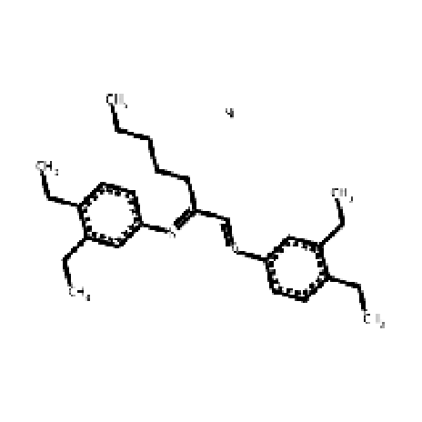 CCCCCC(C=Nc1ccc(CC)c(CC)c1)=Nc1ccc(CC)c(CC)c1.[Ni]